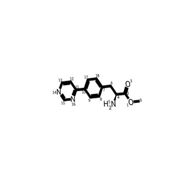 COC(=O)[C@@H](N)Cc1ccc(-c2ccncn2)cc1